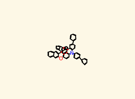 c1ccc(-c2ccc(N(c3ccc4c(c3)C3(c5cc6ccccc6cc5O4)c4ccccc4-c4ccccc43)c3ccc(-c4ccccc4)cc3-c3ccccc3)cc2)cc1